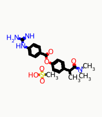 CC(C(=O)N(C)C)c1ccc(OC(=O)c2ccc(NC(=N)N)cc2)cc1.CS(=O)(=O)O